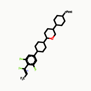 CCCCCC1CCC(C2CCC(C3CCC(c4cc(F)c(/C(F)=C/C(F)(F)F)c(F)c4)CC3)OC2)CC1